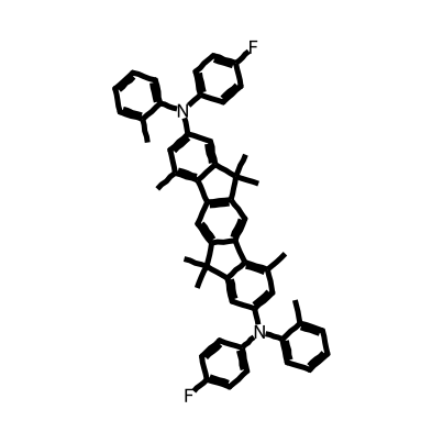 Cc1ccccc1N(c1ccc(F)cc1)c1cc(C)c2c(c1)C(C)(C)c1cc3c(cc1-2)C(C)(C)c1cc(N(c2ccc(F)cc2)c2ccccc2C)cc(C)c1-3